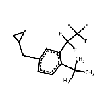 CC(C)(C)c1ccc(CC2CC2)cc1C(F)(F)C(F)(F)F